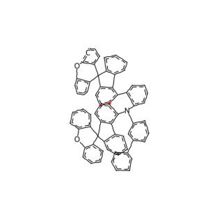 c1ccc(-c2cccc(N(c3ccccc3-c3cccc4c3-c3ccccc3C43c4ccccc4Oc4ccccc43)c3cccc4c3-c3ccccc3C43c4ccccc4Oc4ccccc43)c2)cc1